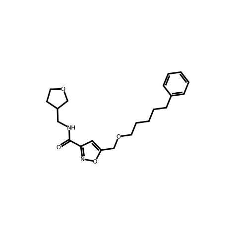 O=C(NCC1CCOC1)c1cc(COCCCCCc2ccccc2)on1